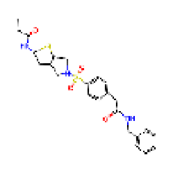 C=CC(=O)NC1CC2CN(S(=O)(=O)c3ccc(CC(=O)NCc4ccccc4)cc3)CC2S1